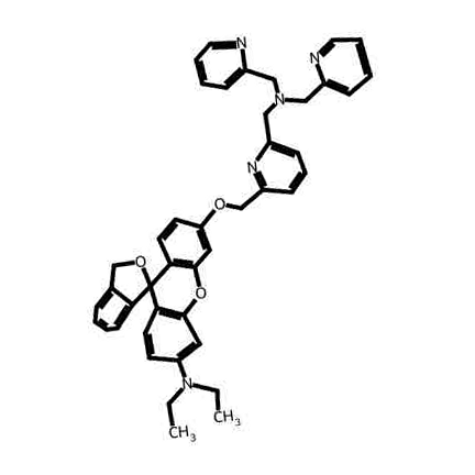 CCN(CC)c1ccc2c(c1)Oc1cc(OCc3cccc(CN(Cc4ccccn4)Cc4ccccn4)n3)ccc1C21OCc2ccccc21